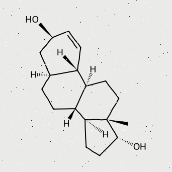 C[C@]12CC[C@@H]3[C@H]4C=C[C@H](O)C[C@@H]4CC[C@H]3[C@@H]1CC[C@H]2O